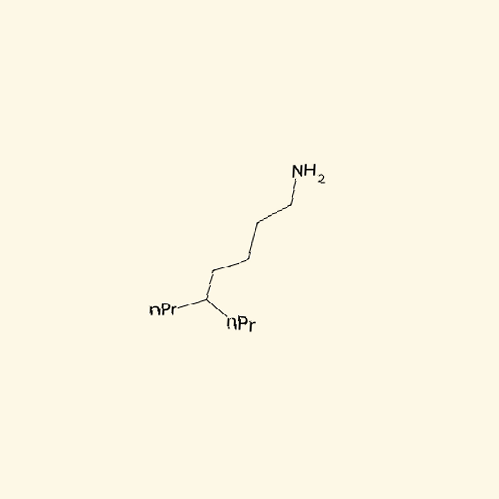 CCCC(CCC)CCCCN